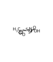 CC1CCC(=O)N1CCSc1nc(C(=O)O)cs1